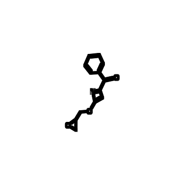 O=C(C1=NC(OCC2CO2)=C1)c1ccccc1